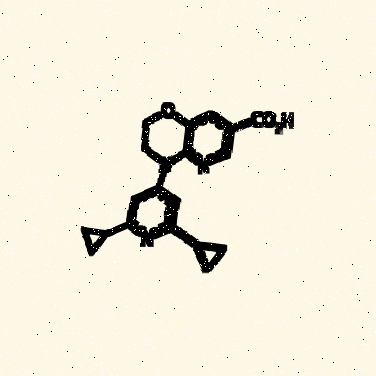 O=C(O)c1cnc2c(c1)OCCN2c1cc(C2CC2)nc(C2CC2)c1